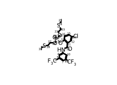 O=C(Nc1cc(C(F)(F)F)cc(C(F)(F)F)c1)c1cc(Cl)ccc1OP(=O)(OCCSI)OCCSI